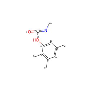 CN=C=O.Cc1cc(C)c(C)c(O)c1